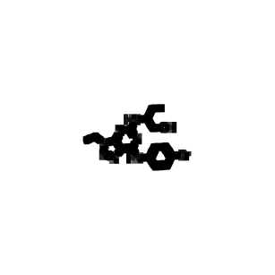 CCC(CO)Nc1nc(Nc2ccc(Br)cc2)c2nnn(CC)c2n1